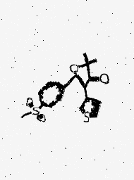 CC1(C)OC(c2ccc(S(C)(=O)=O)cc2)=C(c2ccsc2)C1=O